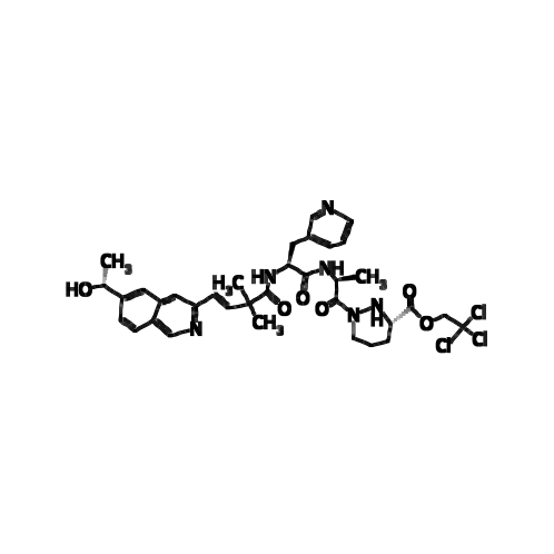 C[C@H](NC(=O)[C@H](Cc1cccnc1)NC(=O)C(C)(C)/C=C/c1cc2cc([C@@H](C)O)ccc2cn1)C(=O)N1CCC[C@@H](C(=O)OCC(Cl)(Cl)Cl)N1